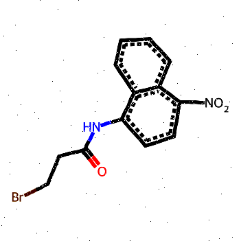 O=C(CCBr)Nc1ccc([N+](=O)[O-])c2ccccc12